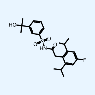 CC(C)c1cc(F)cc(C(C)C)c1CC(=O)NS(=O)(=O)c1cccc(C(C)(C)O)c1